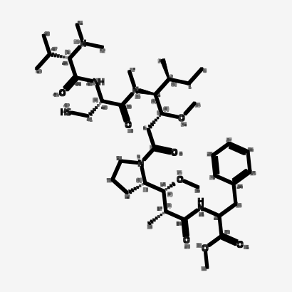 CC[C@H](C)[C@@H]([C@@H](CC(=O)N1CCC[C@H]1[C@H](OC)[C@@H](C)C(=O)NC(Cc1ccccc1)C(=O)OC)OC)N(C)C(=O)[C@H](CS)NC(=O)[C@H](C(C)C)N(C)C